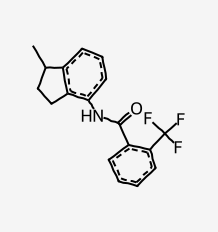 CC1CCc2c(NC(=O)c3ccccc3C(F)(F)F)cccc21